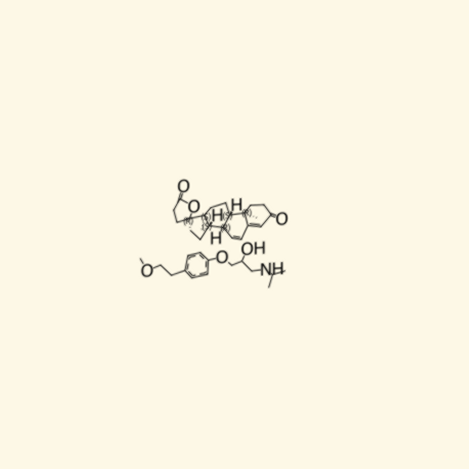 COCCc1ccc(OCC(O)CNC(C)C)cc1.C[C@]12CCC(=O)C=C1C=C[C@@H]1[C@@H]2CC[C@@]2(C)[C@H]1CC[C@@]21CCC(=O)O1